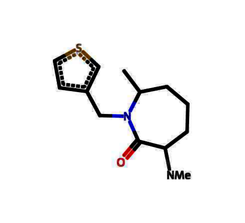 CNC1CCCC(C)N(Cc2ccsc2)C1=O